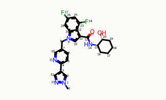 Cn1cc(-c2ccc(Cn3cc(C(=O)N[C@@H]4CCCC[C@H]4O)c4c(F)cc(F)cc43)cn2)cn1